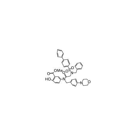 COC(=O)c1cc(N(Cc2ccc(N3CCOCC3)cc2)C(=O)CN(Cc2ccccc2)S(=O)(=O)c2ccc(-c3ccccc3)cc2)ccc1O